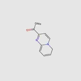 COC(=O)C1=NC2=CC=CCN2C=C1